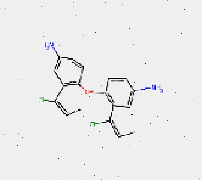 C/C=C(/Cl)c1cc(N)ccc1Oc1ccc(N)cc1/C(Cl)=C\C